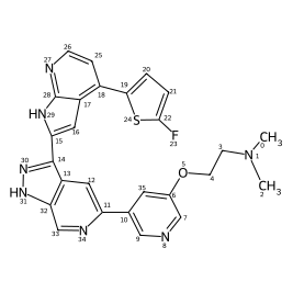 CN(C)CCOc1cncc(-c2cc3c(-c4cc5c(-c6ccc(F)s6)ccnc5[nH]4)n[nH]c3cn2)c1